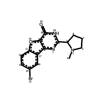 CN1CCCC1c1nc2c(oc3ccc(Br)cc32)c(=O)[nH]1